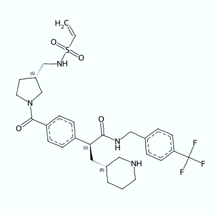 C=CS(=O)(=O)NC[C@H]1CCN(C(=O)c2ccc([C@H](C[C@H]3CCCNC3)C(=O)NCc3ccc(C(F)(F)F)cc3)cc2)C1